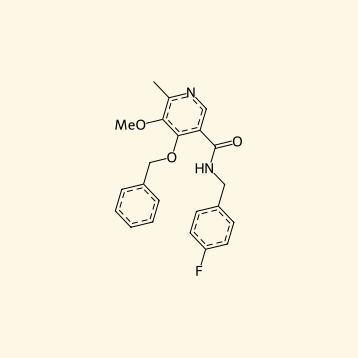 COc1c(C)ncc(C(=O)NCc2ccc(F)cc2)c1OCc1ccccc1